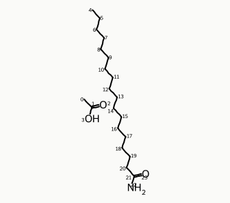 CC(=O)O.CCCCCCCCCCCCCCCCCC(N)=O